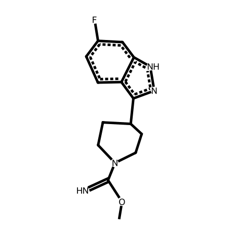 COC(=N)N1CCC(c2n[nH]c3cc(F)ccc23)CC1